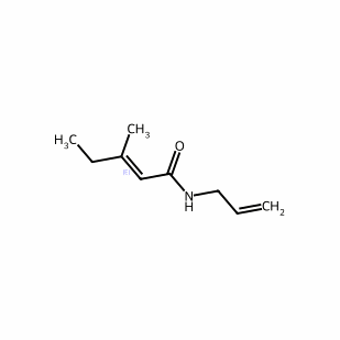 C=CCNC(=O)/C=C(\C)CC